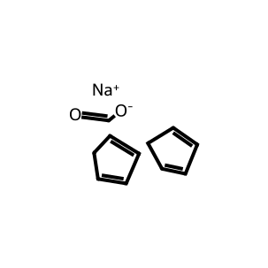 C1=CCC=C1.C1=CCC=C1.O=C[O-].[Na+]